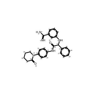 N=C(N)c1cccc(NC(C(=O)Nc2ccc(N3CCCCC3=O)cc2)c2ccccc2)c1